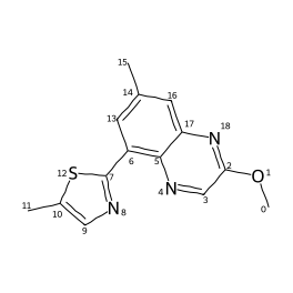 COc1cnc2c(-c3ncc(C)s3)cc(C)cc2n1